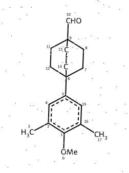 COc1c(C)cc(C23CCC(C=O)(CC2)CC3)cc1C